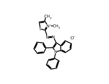 Cc1csc(N=Nc2c(-c3ccccc3)n(-c3ccccc3)c3ccccc23)[n+]1C.[Cl-]